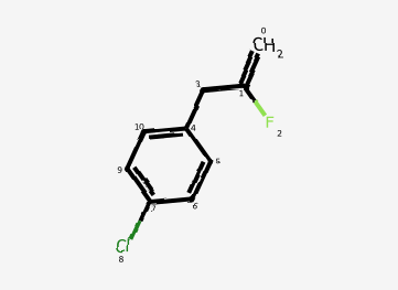 C=C(F)Cc1ccc(Cl)cc1